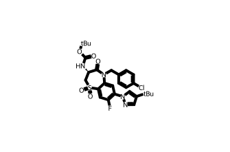 CC(C)(C)OC(=O)N[C@H]1CS(=O)(=O)c2cc(F)c(-n3cc(C(C)(C)C)cn3)cc2N(Cc2ccc(Cl)cc2)C1=O